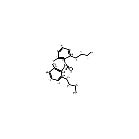 CCCCc1cccc(C)c1[P](=O)c1c(C)cccc1CCCC